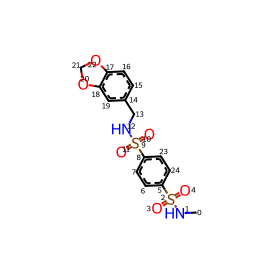 CNS(=O)(=O)c1ccc(S(=O)(=O)NCc2ccc3c(c2)OCO3)cc1